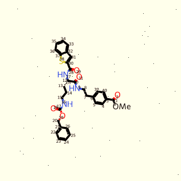 COC(=O)c1ccc(CCNC(=O)[C@H](CCCNC(=O)OCc2ccccc2)NC(=O)c2cc3ccccc3s2)cc1